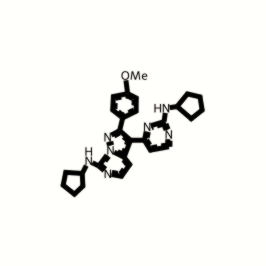 COc1ccc(-c2nn3c(NC4CCCC4)nccc3c2-c2ccnc(NC3CCCC3)n2)cc1